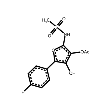 CC(=O)Oc1c(NS(C)(=O)=O)oc(-c2ccc(F)cc2)c1O